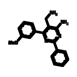 COc1cccc(-c2nc(-c3ccccc3)nc(N)c2CN)c1